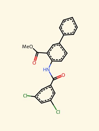 COC(=O)c1cc(-c2ccccc2)ccc1NC(=O)c1cc(Cl)cc(Cl)c1